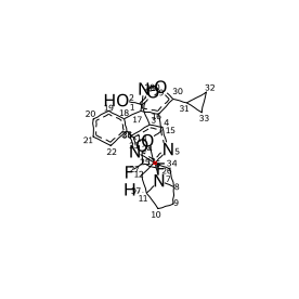 O=C(O)c1cnc(N2C3CC[C@H]2CC(OCc2c(-c4ccccc4OC(F)F)noc2C2CC2)C3)nc1